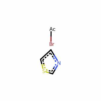 CC(=O)Br.c1cscn1